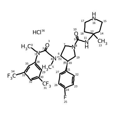 CN(C(=O)N(C)[C@@H]1CN(C(=O)NC2(C)CCNCC2)C[C@H]1c1ccc(F)cc1)c1cc(C(F)(F)F)cc(C(F)(F)F)c1.Cl